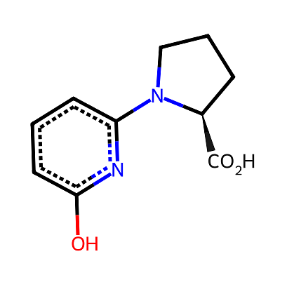 O=C(O)[C@@H]1CCCN1c1cccc(O)n1